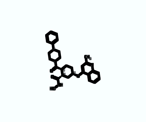 Cc1cc(O[C@@H]2CC[C@H](C(=O)N3CCN(c4ccccc4)CC3)[C@@H](C(=O)NO)C2)c2ccccc2n1